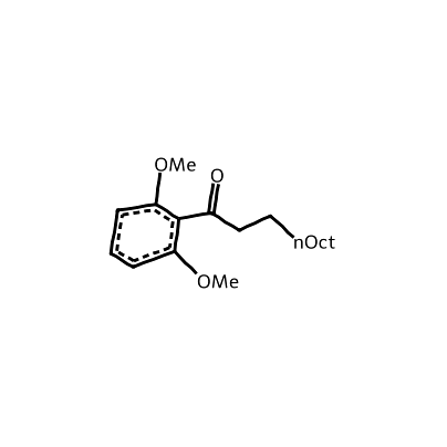 CCCCCCCCCCC(=O)c1c(OC)cccc1OC